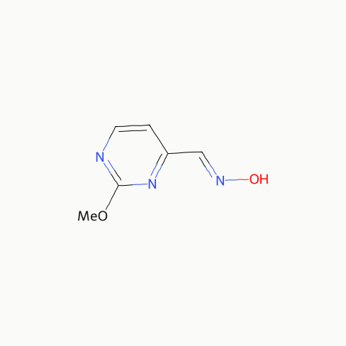 COc1nccc(/C=N/O)n1